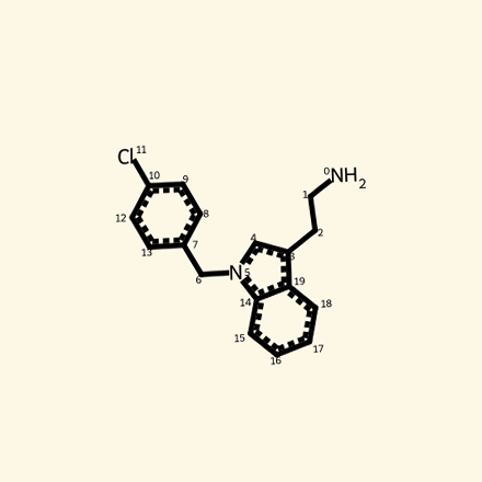 NCCc1cn(Cc2ccc(Cl)cc2)c2ccccc12